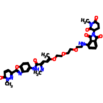 C=N/C(=C\C=C(/C)OCCOCCOCCNc1cccc2c1C(=O)N(C1CCC(=O)N(C)C1=O)C2=O)C(=O)Nc1ccc2oc(-c3ccc(=O)n(C)n3)nc2c1